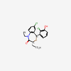 CC(C)CN1C(=O)[C@@H](CC(=O)O)S[C@H](c2cccc(O)c2Cl)c2cc(Cl)ccc21